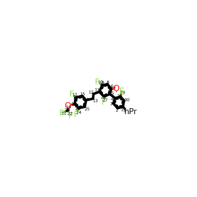 CCCc1ccc(-c2c([O])cc(F)c(CCc3cc(F)c(OC(F)F)c(F)c3)c2F)c(F)c1